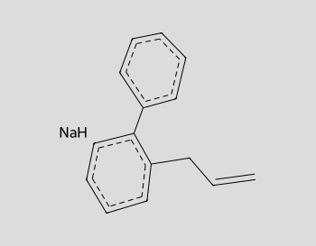 C=CCc1ccccc1-c1ccccc1.[NaH]